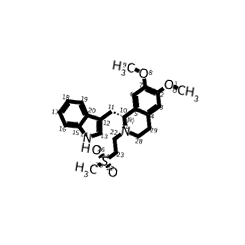 COc1cc2c(cc1OC)[C@@H](Cc1c[nH]c3ccccc13)N(CCS(C)(=O)=O)CC2